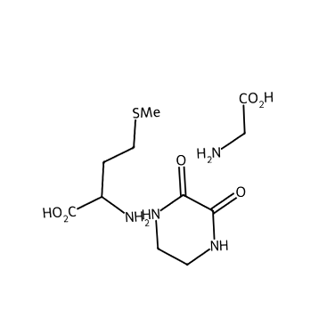 CSCCC(N)C(=O)O.NCC(=O)O.O=C1NCCNC1=O